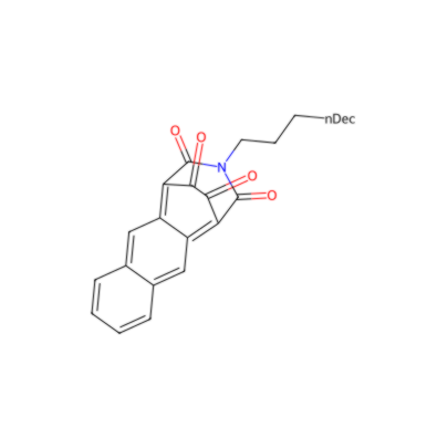 CCCCCCCCCCCCCn1c(=O)c2c3cc4ccccc4cc3c(c1=O)C(=O)C2=O